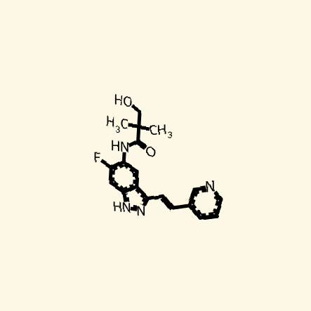 CC(C)(CO)C(=O)Nc1cc2c(/C=C/c3cccnc3)n[nH]c2cc1F